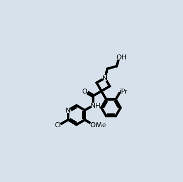 COc1cc(Cl)ncc1NC(=O)C1(c2ccccc2C(C)C)CN(CCO)C1